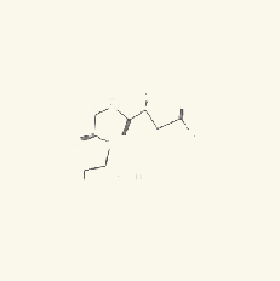 CC(C)[C@H](NC(=O)[C@@H](N)CC(N)=O)C(=O)N[C@@H](CS)C(=O)O